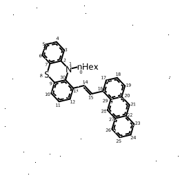 CCCCCCN1c2ccccc2Sc2cccc(C=Cc3cccc4cc5ccccc5cc34)c21